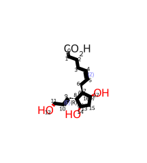 O=C(O)CCC/C=C\C[C@@H]1[C@@H](/C=C/CO)[C@H](O)C[C@@H]1O